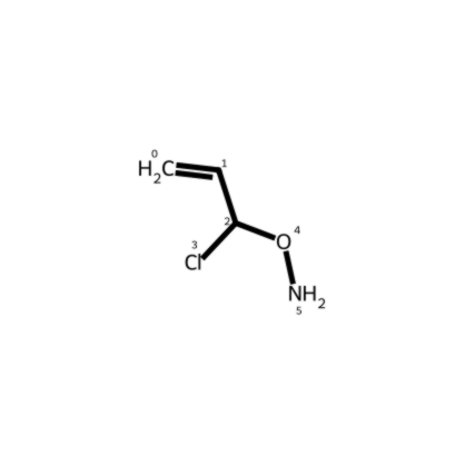 C=CC(Cl)ON